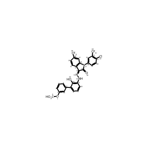 O=C(O)Oc1cccc(-c2cccc(NN=C3C(=O)N(c4ccc(Cl)c(C(F)(F)F)c4)c4cc(C(F)(F)F)ccc43)c2O)c1